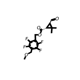 COCc1c(F)c(F)c(COC(=O)[C@@H]2[C@@H](C=O)C2(C)C)c(F)c1F